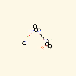 O=C(Nc1cc2c(c3ccccc13)CCN2C(=O)CCCC(=O)N1C[C@@H](CCl)c2c1cc(OP(=O)(O)O)c1ccccc21)OCCSSc1ccccn1